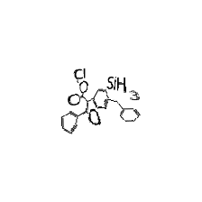 O=C(OCCl)c1c(-c2ccccc2)oc2cc(Cc3ccccc3)c([SiH3])cc12